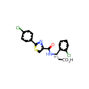 O=C(O)C[C@H](NC(=O)c1csc(-c2ccc(Cl)cc2)n1)c1ccccc1Cl